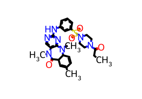 CCC(=O)N1CCN(S(=O)(=O)c2cccc(Nc3ncc4c(n3)N(C)C3C=CC(C)=CC3C(=O)N4C)c2)CC1